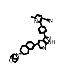 Cc1ccc(C#N)c(-c2ccc(-c3n[nH]c4ncc(-c5ccc6c(c5)CC[C@@H](N5C7COCC5C7)CC6)cc34)cc2)n1